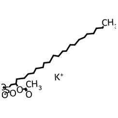 CCCCCCCCCCCCCCCCCCCCCC(CS(=O)(=O)[O-])OC(C)=O.[K+]